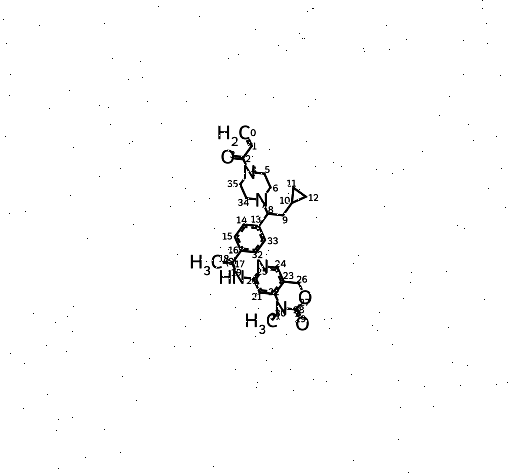 C=CC(=O)N1CCN(C(CC2CC2)c2ccc([C@H](C)Nc3cc4c(cn3)COC(=O)N4C)cc2)CC1